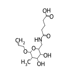 C=CCOC1OC(CNC(=O)CCCC(=O)O)C(O)C(O)C1C